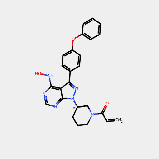 C=CC(=O)N1CCC[C@@H](n2nc(-c3ccc(Oc4ccccc4)cc3)c3c(NO)ncnc32)C1